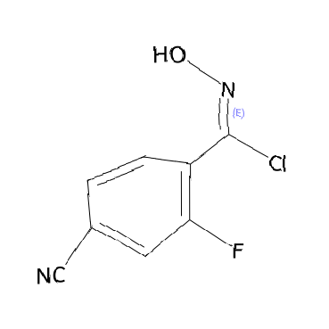 N#Cc1ccc(/C(Cl)=N\O)c(F)c1